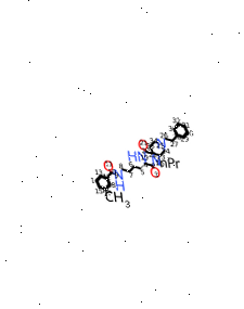 CCCN1C(=O)[C@H](CCCCNC(=O)c2cccc(C)c2)NC(=O)C12CCN(CCc1ccccc1)CC2